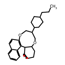 CCCC1CCC(C2COc3ccc4ccccc4c3C3c4ccccc4CCC3OC2)CC1